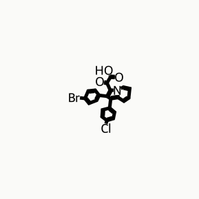 O=C(O)C(=O)c1c(-c2ccc(Br)cc2)c(-c2ccc(Cl)cc2)c2ccccn12